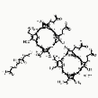 CCC1=C(C)c2cc3[nH]c(cc4nc(cc5[nH]c(cc1n2)c(C)c5CCC(=O)[O-])C(CCC(=O)[O-])=C4C)c(C)c3CC.CCC1=C(C)c2cc3[nH]c(cc4nc(cc5[nH]c(cc1n2)c(C)c5CCC(=O)[O-])C(CCC(=O)[O-])=C4C)c(C)c3CC.COCC(N)=O.COCC(N)=O.[Pt+4]